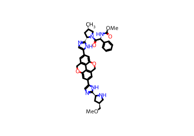 COC[C@@H]1CN[C@H](c2ncc(-c3cc4c5c(c3)OCc3cc(-c6cnc([C@@H]7C[C@H](C)CN7C(=O)[C@H](NC(=O)OC)c7ccccc7)[nH]6)cc(c3-5)OC4)[nH]2)C1